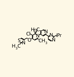 Cc1nc(COc2cc(C)n(-c3cc(-c4ccnc(C(C)C)n4)ncc3C)c(=O)c2Cl)cs1